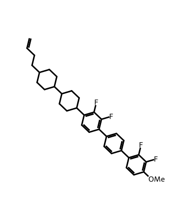 C=CCCC1CCC(C2CCC(c3ccc(-c4ccc(-c5ccc(OC)c(F)c5F)cc4)c(F)c3F)CC2)CC1